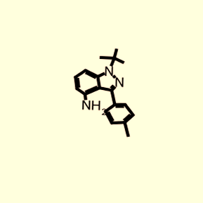 Cc1ccc(-c2nn(C(C)(C)C)c3cccc(N)c23)cc1